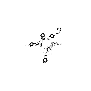 NCCCC[C@@H]1NC(=O)[C@@H](Cc2ccc(OCCN3CCOCC3)cc2)NC(=O)[C@H](Cc2ccc(O)cc2)NC(=O)[C@H](NC(=O)[C@@H](N)Cc2ccc(Cl)cc2)CSSC2[C@@H](C(=O)N[C@H](Cc3ccc(O)cc3)C(N)=O)NC(=O)[C@@H](NC1=O)[C@@H]2O